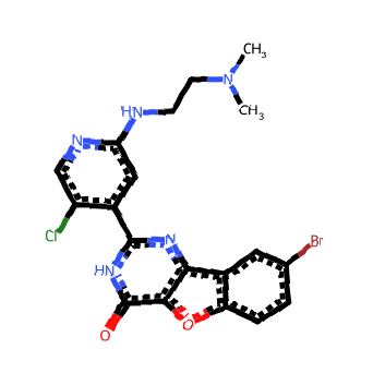 CN(C)CCNc1cc(-c2nc3c(oc4ccc(Br)cc43)c(=O)[nH]2)c(Cl)cn1